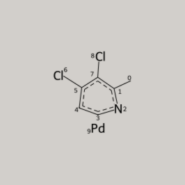 Cc1nccc(Cl)c1Cl.[Pd]